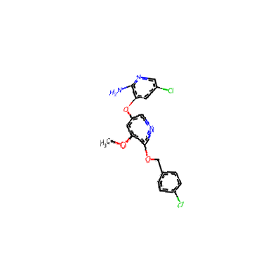 COc1cc(Oc2cc(Cl)cnc2N)cnc1OCc1ccc(Cl)cc1